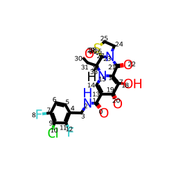 O=C(NCc1ccc(F)c(Cl)c1F)c1cn2c(c(O)c1=O)C(=O)N1CCS[C@@]13COCC[C@@H]23